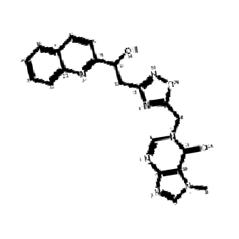 Cn1cnc2ncn(Cc3nc(CC(O)c4ccc5ccccc5n4)no3)c(=O)c21